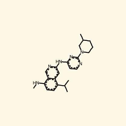 CNc1ccc(C(C)C)c2cc(Nc3ccnc(N4CCCC(C)C4)n3)ncc12